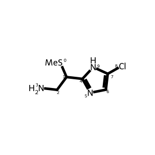 CSC(CN)c1ncc(Cl)[nH]1